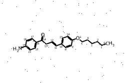 CCCCCCOc1ccc(C=CCC(=O)c2ccc(N)cc2)cc1